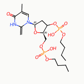 C=C1NC(=O)C(C)=CN1[C@H]1CC(OP(=O)(O)OCCCC)[C@@H](COP(=O)(O)OCCCC)O1